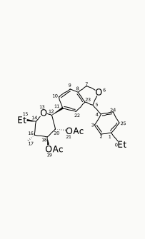 CCc1ccc(C2OCc3ccc([C@@H]4O[C@H](CC)[C@@H](C)[C@H](OC(C)=O)[C@H]4OC(C)=O)cc32)cc1